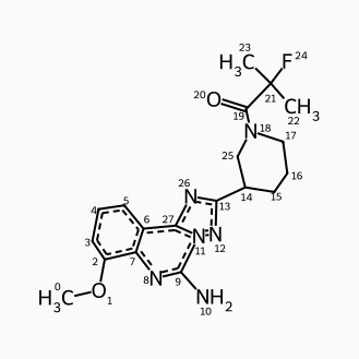 COc1cccc2c1nc(N)n1nc(C3CCCN(C(=O)C(C)(C)F)C3)nc21